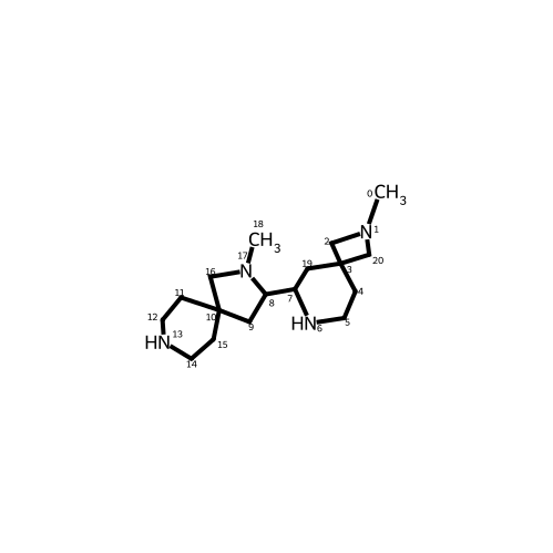 CN1CC2(CCNC(C3CC4(CCNCC4)CN3C)C2)C1